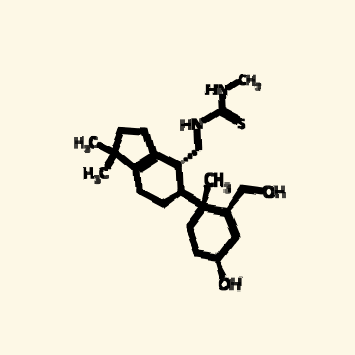 CNC(=S)NC[C@H]1C2=C(CC[C@@H]1[C@@]1(C)CC[C@H](O)C[C@@H]1CO)C(C)(C)CC2